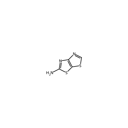 Nc1nc2ncsc2s1